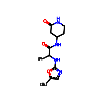 CC(C)C(Nc1ncc(C(C)(C)C)o1)C(=O)NC1CCNC(=O)C1